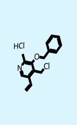 C=Cc1cnc(C)c(OCc2ccccc2)c1CCl.Cl